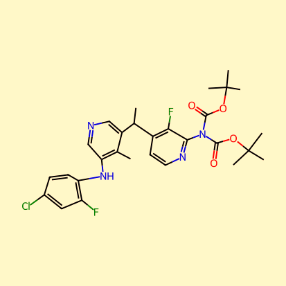 Cc1c(Nc2ccc(Cl)cc2F)cncc1C(C)c1ccnc(N(C(=O)OC(C)(C)C)C(=O)OC(C)(C)C)c1F